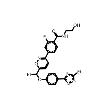 CCc1nc(-c2ccc(OC(CC)C3=C=CC(c4ccc(C(=O)NCCO)c(F)c4)=NO3)cc2)no1